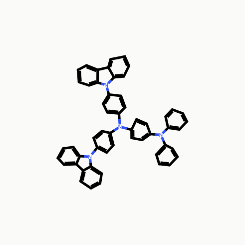 c1ccc(N(c2ccccc2)c2ccc(N(c3ccc(-n4c5ccccc5c5ccccc54)cc3)c3ccc(-n4c5ccccc5c5ccccc54)cc3)cc2)cc1